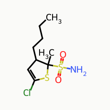 CCCCC1C=C(Cl)SC1(C)S(N)(=O)=O